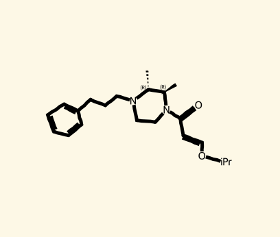 CC(C)OC=CC(=O)N1CCN(CCCc2ccccc2)[C@H](C)[C@H]1C